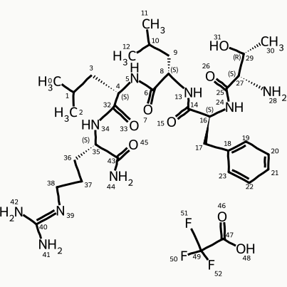 CC(C)C[C@H](NC(=O)[C@H](CC(C)C)NC(=O)[C@H](Cc1ccccc1)NC(=O)[C@@H](N)[C@@H](C)O)C(=O)N[C@@H](CCCN=C(N)N)C(N)=O.O=C(O)C(F)(F)F